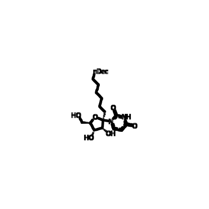 CCCCCCCCCCCCCCCC[C@@]1(n2ccc(=O)[nH]c2=O)O[C@H](CO)[C@@H](O)[C@H]1O